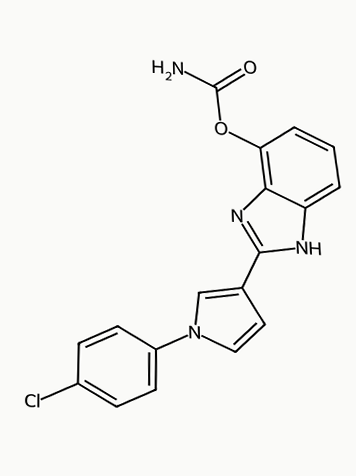 NC(=O)Oc1cccc2[nH]c(-c3ccn(-c4ccc(Cl)cc4)c3)nc12